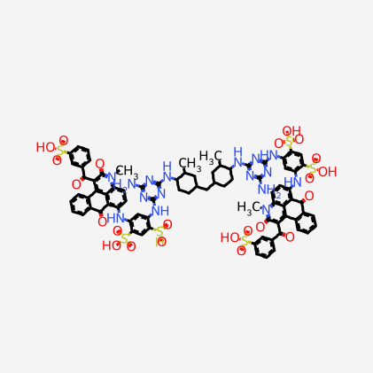 CC1CC(CC2CCC(Nc3nc(N)nc(Nc4cc(Nc5ccc6c7c5C(=O)c5ccccc5-c7c(C(=O)c5cccc(S(=O)(=O)O)c5)c(=O)n6C)c(S(=O)(=O)O)cc4S(=O)(=O)O)n3)C(C)C2)CCC1Nc1nc(N)nc(Nc2cc(Nc3ccc4c5c3C(=O)c3ccccc3-c5c(C(=O)c3cccc(S(=O)(=O)O)c3)c(=O)n4C)c(S(=O)(=O)O)cc2[SH](=O)=O)n1